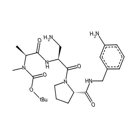 C[C@@H](C(=O)N[C@@H](CN)C(=O)N1CCC[C@H]1C(=O)NCc1cccc(N)c1)N(C)C(=O)OC(C)(C)C